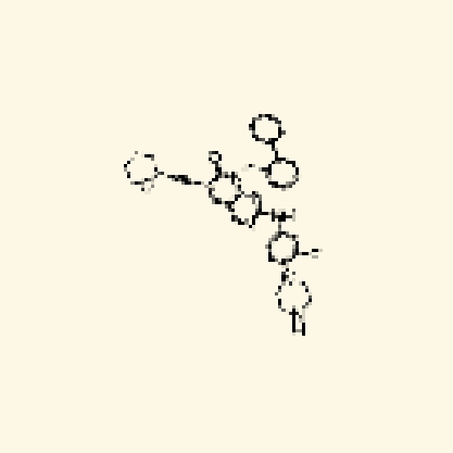 O=c1c(C#CC2CCCCO2)cc2cnc(Nc3ccc(N4CCNCC4)c(F)c3)nc2n1Cc1ccccc1-c1ccccc1